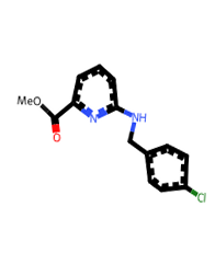 COC(=O)c1cccc(NCc2ccc(Cl)cc2)n1